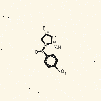 N#C[C@H]1C[C@@H](F)CN1[S+]([O-])c1ccc([N+](=O)[O-])cc1